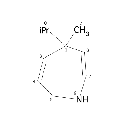 CC(C)C1(C)C=CCNC=C1